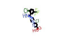 N=C(c1cc(C(F)(F)F)ccc1Cl)N1CCN(c2ncc(C(=O)O)cc2Cl)CC1